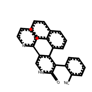 N#Cc1ccccc1-c1c(-c2cccc3ccccc23)c(-c2ccccn2)c[nH]c1=O